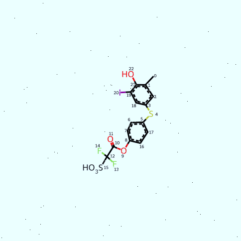 Cc1cc(Sc2ccc(OC(=O)C(F)(F)S(=O)(=O)O)cc2)cc(I)c1O